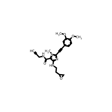 C#CCNC(=O)c1c(NCCC2CO2)nc(C#Cc2ccc(OC)c(OC)c2)n1C